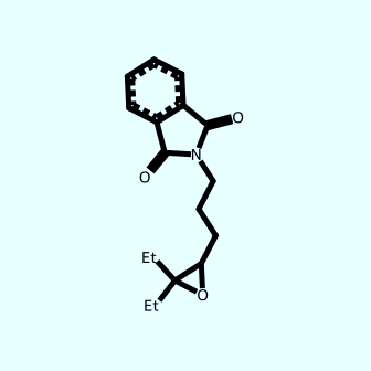 CCC1(CC)OC1CCCN1C(=O)c2ccccc2C1=O